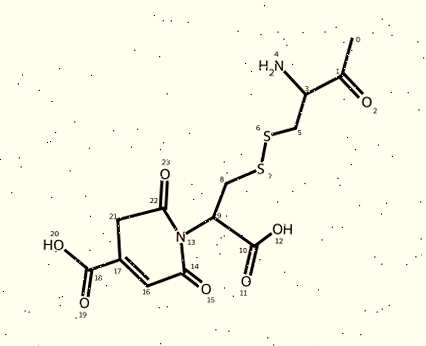 CC(=O)C(N)CSSCC(C(=O)O)N1C(=O)C=C(C(=O)O)CC1=O